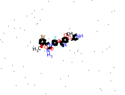 COc1ccc(Br)cc1CCN(C(=O)C(N)=O)c1ccc(Oc2ccnc3cc(OCC4CCNCC4)c(OC)cc23)c(F)c1